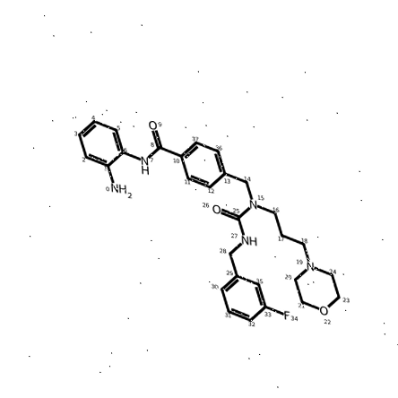 Nc1ccccc1NC(=O)c1ccc(CN(CCCN2CCOCC2)C(=O)NCc2cccc(F)c2)cc1